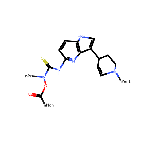 CCCCCCCCCC(=O)ON(CCC)C(=S)Nc1ccc2[nH]cc(C3C=CN(C(C)CCC)CC3)c2n1